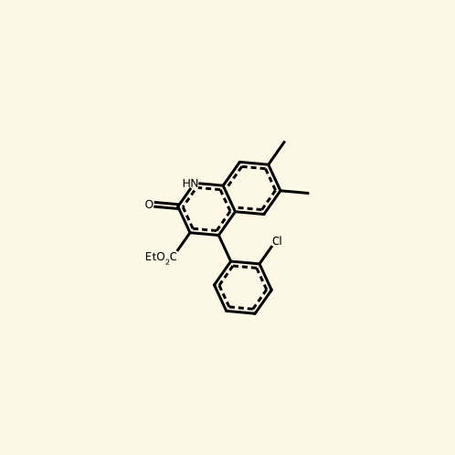 CCOC(=O)c1c(-c2ccccc2Cl)c2cc(C)c(C)cc2[nH]c1=O